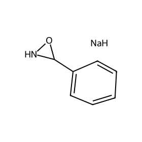 [NaH].c1ccc(C2NO2)cc1